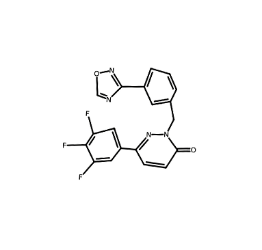 O=c1ccc(-c2cc(F)c(F)c(F)c2)nn1Cc1cccc(-c2ncon2)c1